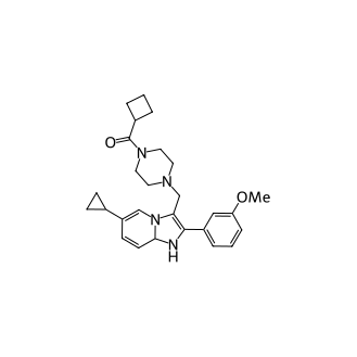 COc1cccc(C2=C(CN3CCN(C(=O)C4CCC4)CC3)N3C=C(C4CC4)C=CC3N2)c1